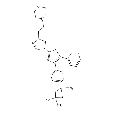 CC1(O)CC(N)(c2ccc(-c3nc(-c4cnn(CCN5CCOCC5)c4)sc3-c3ccccc3)cc2)C1